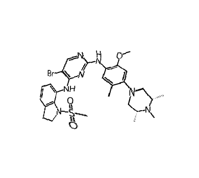 COc1cc(N2C[C@@H](C)N(C)[C@@H](C)C2)c(C)cc1Nc1ncc(Br)c(Nc2cccc3c2N(S(C)(=O)=O)CC3)n1